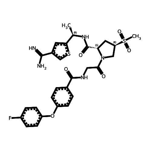 C[C@@H](NC(=O)[C@@H]1C[C@@H](S(C)(=O)=O)CN1C(=O)CNC(=O)c1ccc(Oc2ccc(F)cc2)cc1)c1cc(C(=N)N)cs1